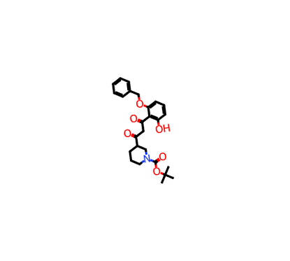 CC(C)(C)OC(=O)N1CCCC(C(=O)CC(=O)c2c(O)cccc2OCc2ccccc2)C1